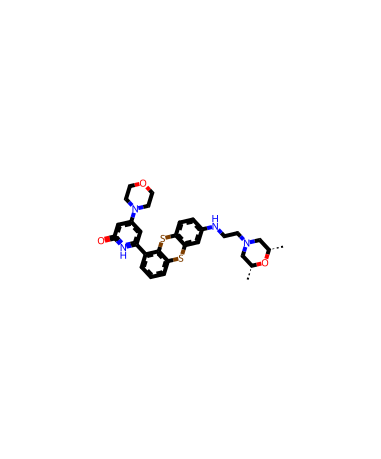 C[C@@H]1CN(CCNc2ccc3c(c2)Sc2cccc(-c4cc(N5CCOCC5)cc(=O)[nH]4)c2S3)C[C@H](C)O1